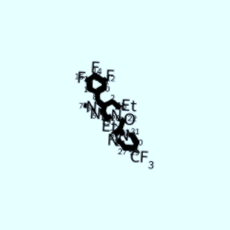 CC[C@H]1Cc2c(nn(C)c2-c2cc(F)c(F)c(F)c2)[C@@H](CC)N1C(=O)c1cnc2cc(C(F)(F)F)ccn12